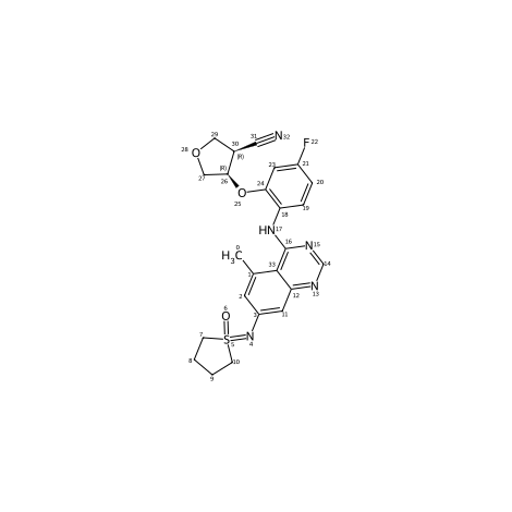 Cc1cc(N=S2(=O)CCCC2)cc2ncnc(Nc3ccc(F)cc3O[C@H]3COC[C@H]3C#N)c12